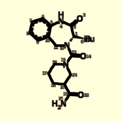 CC[C@H](C)[C@H]1C(=O)Nc2ccccc2CN1C(=O)N1CCCC(C(N)=O)C1